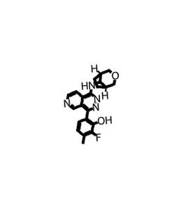 Cc1ccc(-c2nnc(NC3[C@@H]4CC[C@H]3COC4)c3ccncc23)c(O)c1F